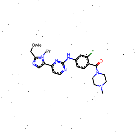 COCc1ncc(-c2ccnc(Nc3ccc(C(=O)N4CCN(C)CC4)c(F)c3)n2)n1C(C)C